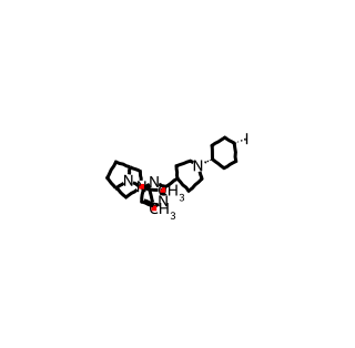 CC(C)N1CC2CCC(C1)N2c1ccnc(C2CCN([C@H]3CC[C@@H](I)CC3)CC2)n1